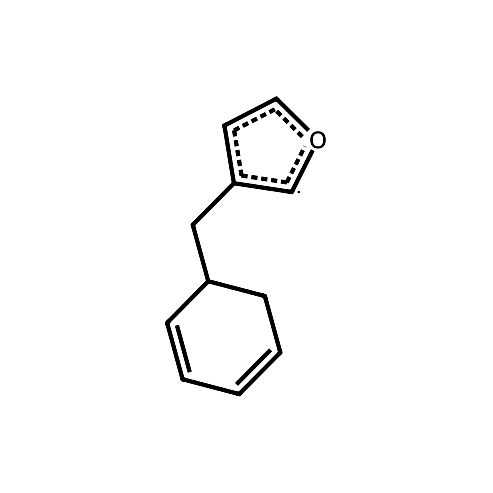 [c]1occc1CC1C=CC=CC1